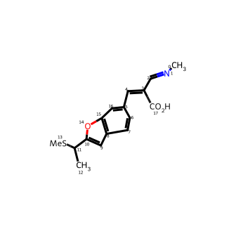 C/N=C/C(=C/c1ccc2cc(C(C)SC)oc2c1)C(=O)O